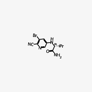 CC(C)[C@@H](Nc1cnc(C#N)c(Br)c1)C(N)=O